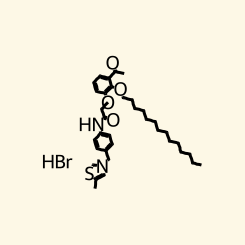 Br.CCCCCCCCCCCCCCOc1c(OCC(=O)Nc2ccc(CN3C=C(C)SC3)cc2)cccc1C(C)=O